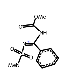 CNS(=O)(=O)/N=C(/NC(=O)OC)c1ccccc1